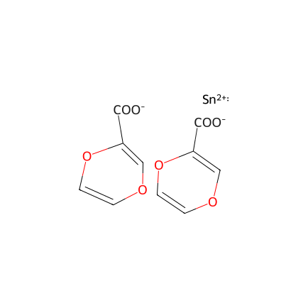 O=C([O-])C1=COC=CO1.O=C([O-])C1=COC=CO1.[Sn+2]